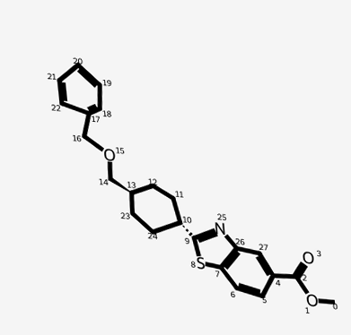 COC(=O)c1ccc2sc([C@H]3CC[C@H](COCc4ccccc4)CC3)nc2c1